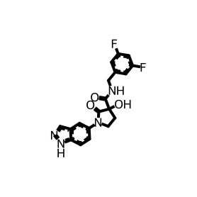 O=C(NCc1cc(F)cc(F)c1)C1(O)CCN(c2ccc3[nH]ncc3c2)C1=O